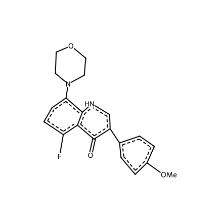 COc1ccc(-c2c[nH]c3c(N4CCOCC4)ccc(F)c3c2=O)cc1